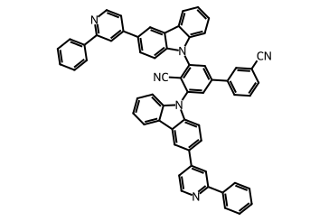 N#Cc1cccc(-c2cc(-n3c4ccccc4c4cc(-c5ccnc(-c6ccccc6)c5)ccc43)c(C#N)c(-n3c4ccccc4c4cc(-c5ccnc(-c6ccccc6)c5)ccc43)c2)c1